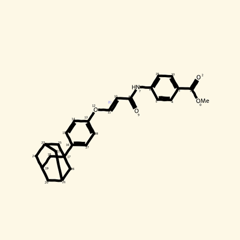 COC(=O)c1ccc(NC(=O)/C=C/Oc2ccc(C34CC5CC(CC(C5)C3)C4)cc2)cc1